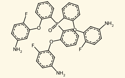 Nc1ccc(F)c(Oc2ccccc2P(=O)(c2ccccc2Oc2cc(N)ccc2F)c2ccccc2Oc2cc(N)ccc2F)c1